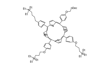 CCCCCCCCCCCOc1ccc(-c2c3nc(c(-c4ccc(CCCC[N+](CC)(CC)CC)cc4)c4ccc([nH]4)c(-c4ccc(OCCC[N+](CC)(CC)CC)cc4)c4nc(c(-c5ccc(OCCC[N+](CC)(CC)CC)cc5)c5ccc2[nH]5)C=C4)C=C3)cc1